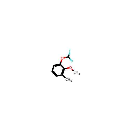 COc1c(C)cccc1OC(F)F